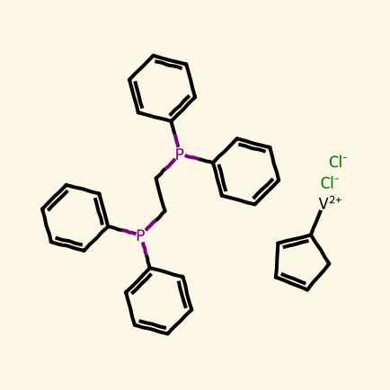 [Cl-].[Cl-].[V+2][C]1=CC=CC1.c1ccc(P(CCP(c2ccccc2)c2ccccc2)c2ccccc2)cc1